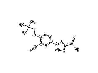 CC(C)(C)COc1ccc(-n2cc(C(=O)O)cn2)cc1C#N